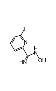 N=C(NO)c1cccc(I)n1